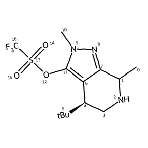 CC1NC[C@@H](C(C)(C)C)c2c1nn(C)c2OS(=O)(=O)C(F)(F)F